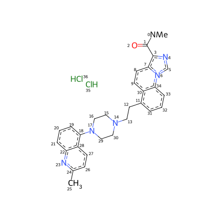 CNC(=O)c1ncn2c1ccc1c(CCN3CCN(c4cccc5nc(C)ccc45)CC3)cccc12.Cl.Cl